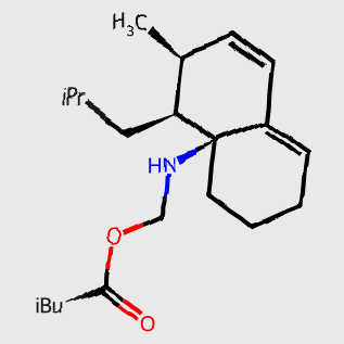 CC[C@H](C)C(=O)OCN[C@]12CCCC=C1C=C[C@H](C)[C@@H]2CC(C)C